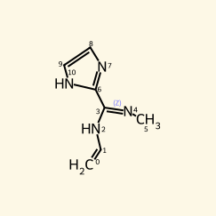 C=CN/C(=N\C)c1ncc[nH]1